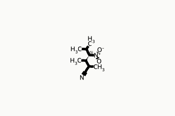 CC(C#N)C(C)[C@H](C(C)C)[N+](=O)[O-]